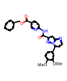 COc1ccc(-c2ccnc3cc(C(=O)Nc4ccc(C(=O)OCc5ccccc5)cn4)nn23)cc1OC